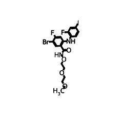 COCCOCCONC(=O)c1cc(Br)c(F)cc1Nc1ccc(I)cc1F